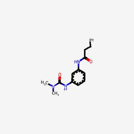 CC(C)CCC(=O)Nc1cccc(NC(=O)N(C)C)c1